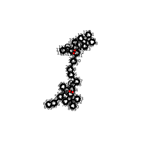 c1ccc(C2(c3ccccc3)c3ccccc3-c3c(N(c4ccc(-c5ccc(-c6ccc7ccc(-c8cccc9c8oc8c(-c%10ccccc%10N(c%10ccc(-c%11ccc%12ccccc%12c%11)cc%10)c%10cccc%11c%10-c%10ccccc%10C%11(c%10ccccc%10)c%10ccccc%10)cccc89)cc7c6)cc5)cc4)c4ccccc4-c4cccc5c4oc4ccccc45)cccc32)cc1